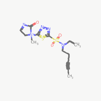 CC#CCCN(CC)S(=O)(=O)c1nnc([N+]2(C)CC=NC2=O)s1